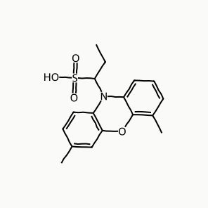 CCC(N1c2ccc(C)cc2Oc2c(C)cccc21)S(=O)(=O)O